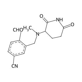 CN(Cc1cc(C#N)ccc1C=O)C1CCC(=O)NC1=O